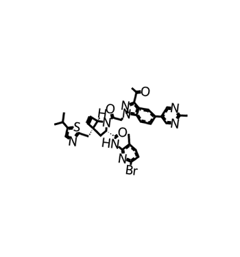 CC(=O)c1nn(CC(=O)N2[C@H](C(=O)Nc3nc(Br)ccc3C)C[C@@]3(Cc4ncc(C(C)C)s4)C#C[C@@H]23)c2ccc(-c3cnc(C)nc3)cc12